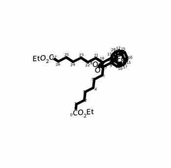 CCOC(=O)CCCCCCC(=O)[C]12[CH]3[CH]4[CH]5[CH]1[Fe]45321678[CH]2[CH]1[CH]6[C]7(C(=O)CCCCCCC(=O)OCC)[CH]28